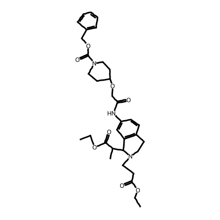 CCOC(=O)CCN1CCc2ccc(NC(=O)COC3CCN(C(=O)OCc4ccccc4)CC3)cc2C1C(C)C(=O)OCC